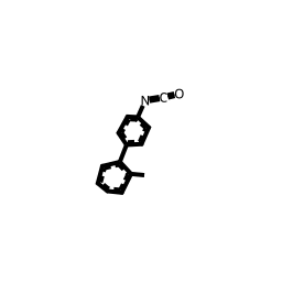 Cc1ccccc1-c1ccc(N=C=O)cc1